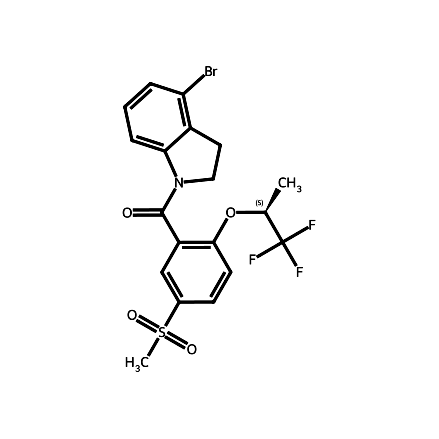 C[C@H](Oc1ccc(S(C)(=O)=O)cc1C(=O)N1CCc2c(Br)cccc21)C(F)(F)F